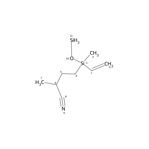 C=C[Si](C)(CCC(C)C#N)O[SiH3]